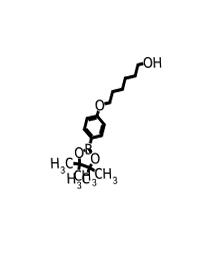 CC1(C)OB(c2ccc(OCCCCCCO)cc2)OC1(C)C